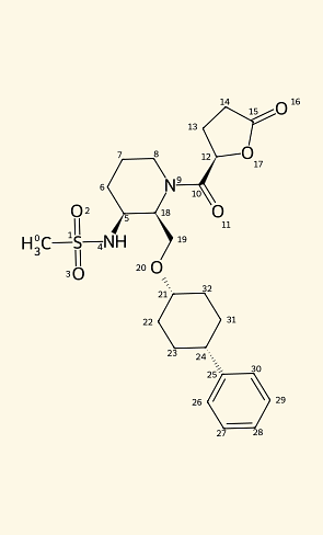 CS(=O)(=O)N[C@H]1CCCN(C(=O)[C@H]2CCC(=O)O2)[C@H]1CO[C@H]1CC[C@@H](c2ccccc2)CC1